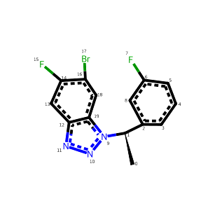 C[C@H](c1cccc(F)c1)n1nnc2cc(F)c(Br)cc21